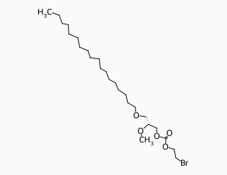 CCCCCCCCCCCCCCCCCCOC[C@H](COC(=O)OCCBr)OC